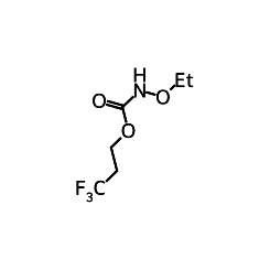 CCONC(=O)OCCC(F)(F)F